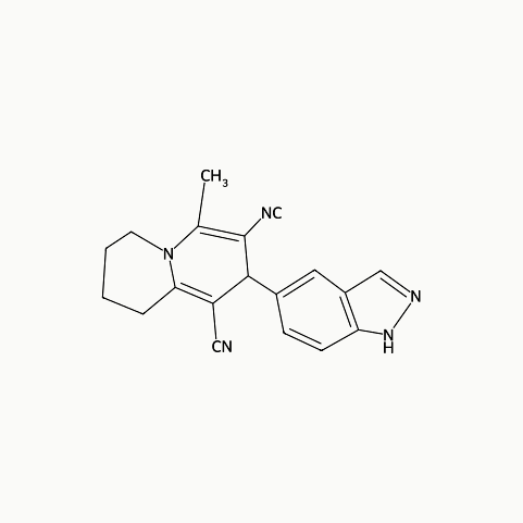 [C-]#[N+]C1=C(C)N2CCCCC2=C(C#N)C1c1ccc2[nH]ncc2c1